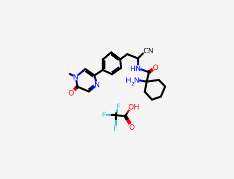 Cn1cc(-c2ccc(CC(C#N)NC(=O)C3(N)CCCCC3)cc2)ncc1=O.O=C(O)C(F)(F)F